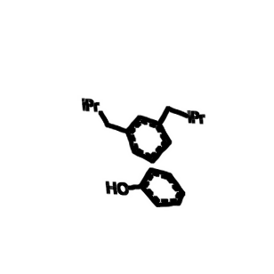 CC(C)Cc1cccc(CC(C)C)c1.Oc1ccccc1